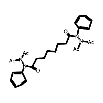 CC(=O)N(C(C)=O)N(C(=O)CCCCCCC(=O)N(c1ccccc1)N(C(C)=O)C(C)=O)c1ccccc1